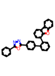 c1ccc(-c2nnc(-c3ccc(-c4ccccc4-c4cccc5c4oc4ccccc45)cc3)o2)cc1